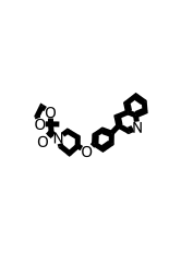 CC1(C(=O)N2CCC(Oc3ccc(-c4cnc5ccccc5c4)cc3)CC2)OCCO1